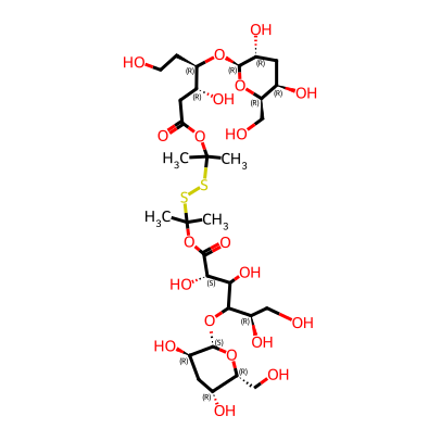 CC(C)(OC(=O)C[C@@H](O)[C@@H](CCO)O[C@@H]1O[C@H](CO)[C@H](O)C[C@H]1O)SSC(C)(C)OC(=O)[C@@H](O)C(O)C(O[C@@H]1O[C@H](CO)[C@H](O)C[C@H]1O)[C@H](O)CO